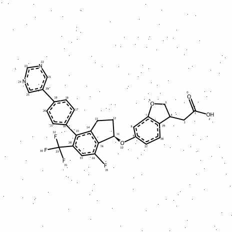 O=C(O)CC1COc2cc(O[C@@H]3CCc4c(-c5ccc(-c6cncnc6)cc5)c(C(F)(F)F)cc(F)c43)ccc21